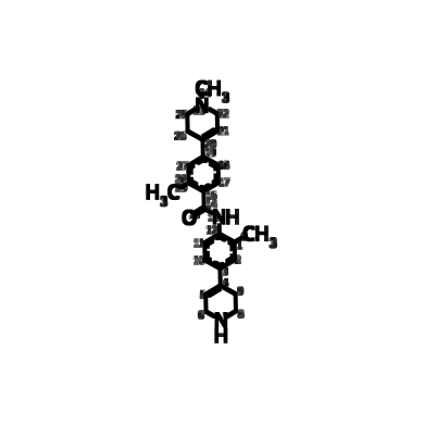 Cc1cc(C2=CCNCC2)ccc1NC(=O)c1ccc(C2=CCN(C)CC2)cc1C